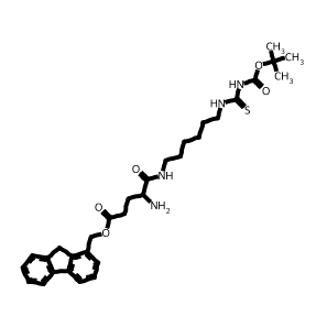 CC(C)(C)OC(=O)NC(=S)NCCCCCCNC(=O)C(N)CCC(=O)OCc1cccc2c1Cc1ccccc1-2